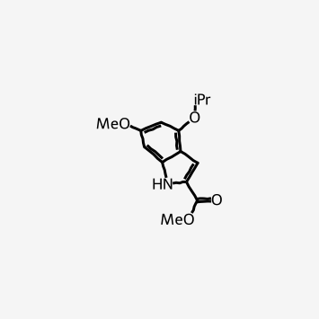 COC(=O)c1cc2c(OC(C)C)cc(OC)cc2[nH]1